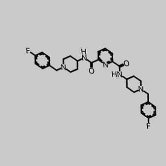 O=C(NC1CCN(Cc2ccc(F)cc2)CC1)c1cccc(C(=O)NC2CCN(Cc3ccc(F)cc3)CC2)n1